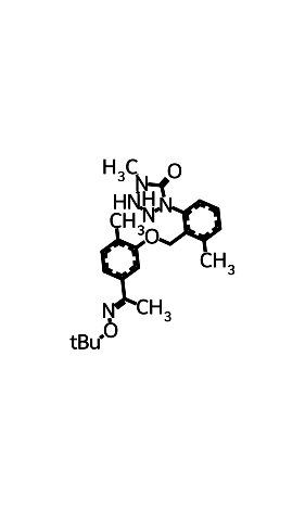 C/C(=N\OC(C)(C)C)c1ccc(C)c(OCc2c(C)cccc2N2NNN(C)C2=O)c1